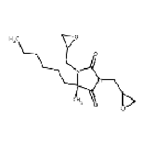 CCCCCC[C@@]1(C)C(=O)N(CC2CO2)C(=O)N1CC1CO1